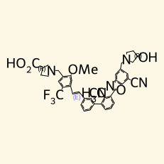 COc1cc(/C=C/c2cccc(-c3cccc(-c4nc5cc(CN6CC[C@@H](O)C6)cc(C#N)c5o4)c3C)c2C#N)c(C(F)(F)F)cc1CN1CC[C@@H](C(=O)O)C1